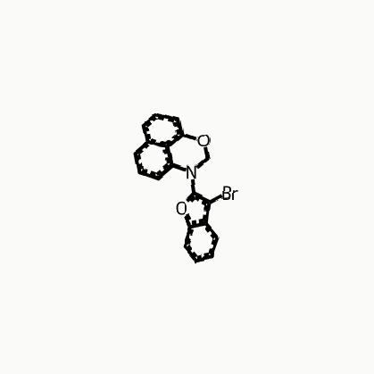 Brc1c(N2COc3cccc4cccc2c34)oc2ccccc12